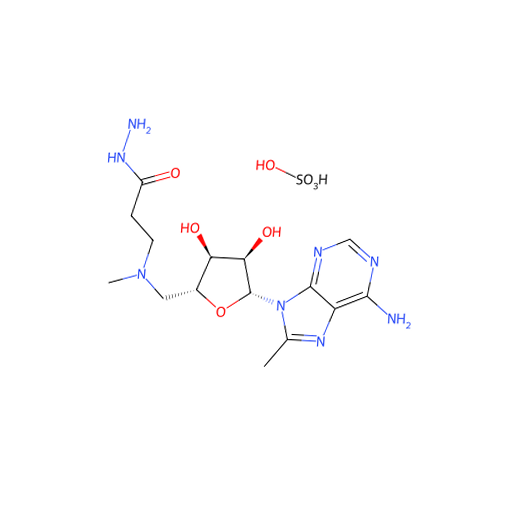 Cc1nc2c(N)ncnc2n1[C@@H]1O[C@H](CN(C)CCC(=O)NN)[C@@H](O)[C@H]1O.O=S(=O)(O)O